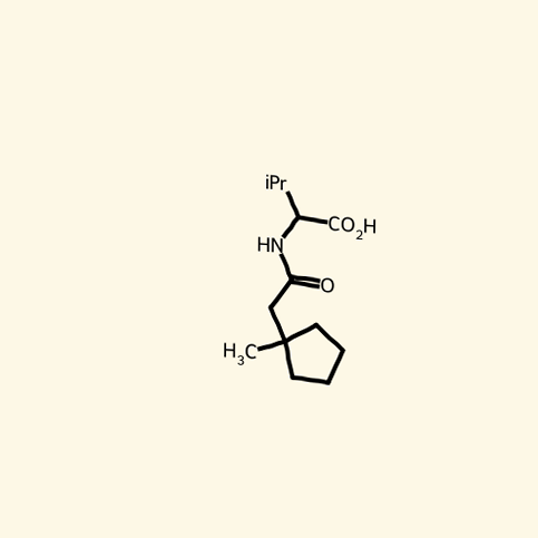 CC(C)C(NC(=O)CC1(C)CCCC1)C(=O)O